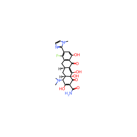 CN(C)[C@@H]1C(O)=C(C(N)=O)C(=O)[C@@]2(O)C(O)=C3C(=O)c4c(O)cc(-c5nccn5C)c(F)c4C[C@H]3C[C@@H]12